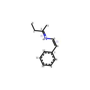 CC/C(C)=N/C=C\c1ccccc1